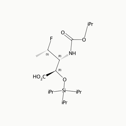 CC(C)OC(=O)N[C@@H]([C@H](C)F)[C@@H](O[Si](C(C)C)(C(C)C)C(C)C)C(=O)O